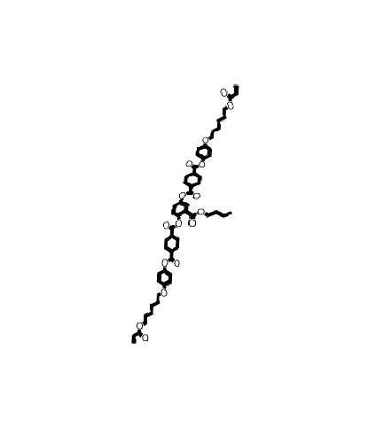 C=CC(=O)OCCCCCCOc1ccc(OC(=O)C2CCC(C(=O)Oc3ccc(OC(=O)C4CCC(C(=O)Oc5ccc(OCCCCCCOC(=O)C=C)cc5)CC4)c(C(=O)OCCCC)c3)CC2)cc1